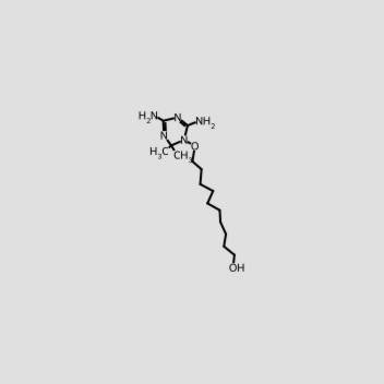 CC1(C)N=C(N)N=C(N)N1OCCCCCCCCCCO